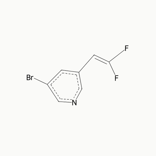 FC(F)=Cc1cncc(Br)c1